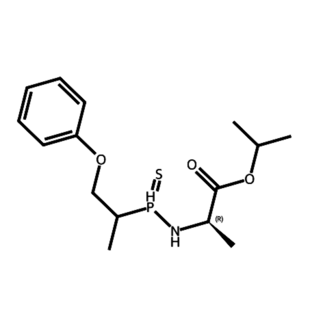 CC(C)OC(=O)[C@@H](C)N[PH](=S)C(C)COc1ccccc1